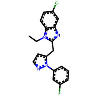 CCn1c(Cc2ccnn2-c2cccc(F)c2)nc2cc(Cl)ccc21